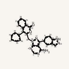 Nc1ncnc2c1c(-c1ccc3[nH]ncc3c1)nn2Cc1oc(=O)c2ccccc2c1-c1ccccc1